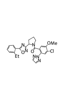 CCc1ccccc1-c1nc(C2CCCN2C(=O)c2cc(OC)c(Cl)cc2-n2nccn2)no1